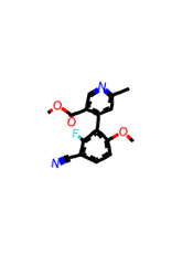 COC(=O)c1cnc(C)cc1-c1c(OC)ccc(C#N)c1F